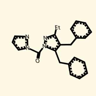 CCc1nn(C(=O)n2cccn2)c(Cc2ccccc2)c1Cc1ccccc1